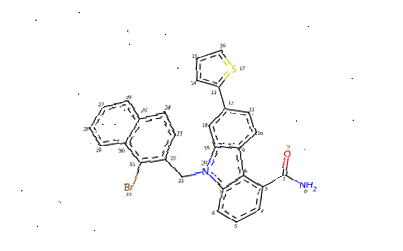 NC(=O)c1cccc2c1c1[c]cc(-c3cccs3)cc1n2Cc1ccc2ccccc2c1Br